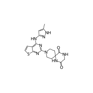 Cc1cc(Nc2nc(N3CCC4(CC3)NC(=O)CNC4=O)nc3sccc23)n[nH]1